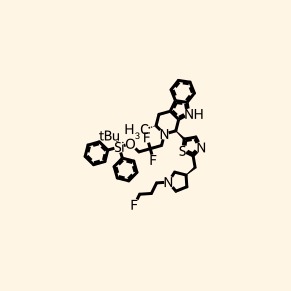 C[C@@H]1Cc2c([nH]c3ccccc23)[C@@H](c2cnc(C[C@H]3CCN(CCCF)C3)s2)N1CC(F)(F)CO[Si](c1ccccc1)(c1ccccc1)C(C)(C)C